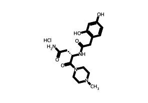 CN1CCN(C(=O)[C@H](CC(N)=O)NC(=O)Cc2ccc(O)cc2O)CC1.Cl